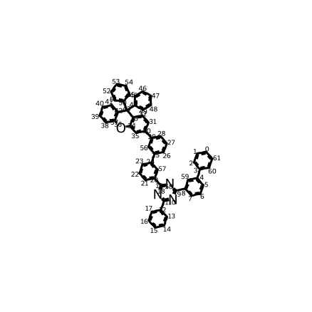 c1ccc(-c2cccc(-c3nc(-c4ccccc4)nc(-c4cccc(-c5cccc(-c6ccc7c(c6)Oc6ccccc6C7(c6ccccc6)c6ccccc6)c5)c4)n3)c2)cc1